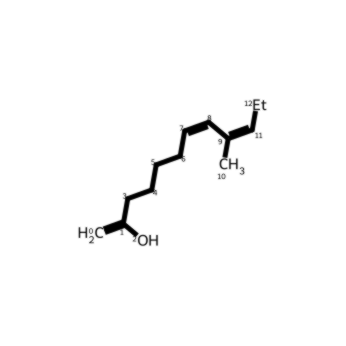 C=C(O)CCCC/C=C\C(C)=C/CC